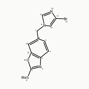 CSc1nc2ccc(Cn3cnc(Br)c3)cc2o1